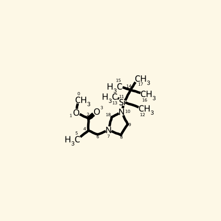 COC(=O)C(C)CN1CCN([Si](C)(C)C(C)(C)C)C1